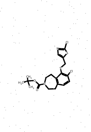 CC(C)(C)OC(=O)N1CCc2ccc(Cl)c(SCc3cnc(Cl)s3)c2CC1